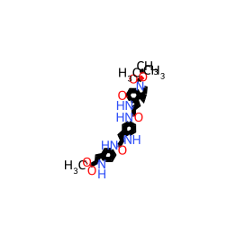 COC(=O)c1cc2cc(NC(=O)c3cc4cc(NC(=O)c5cc6c([nH]5)C(=O)C=C5N(C(=O)OC(C)(C)C)CC7CC567)ccc4[nH]3)ccc2[nH]1